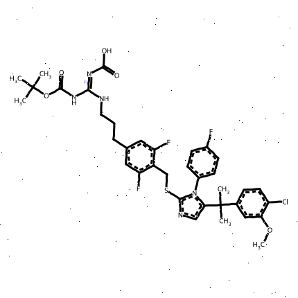 COc1cc(C(C)(C)c2cnc(SCc3c(F)cc(CCCN/C(=N\C(=O)O)NC(=O)OC(C)(C)C)cc3F)n2-c2ccc(F)cc2)ccc1Cl